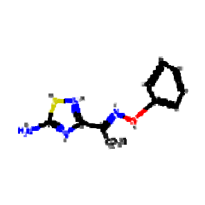 Nc1nc(/C(=N/Oc2ccccc2)C(=O)O)ns1